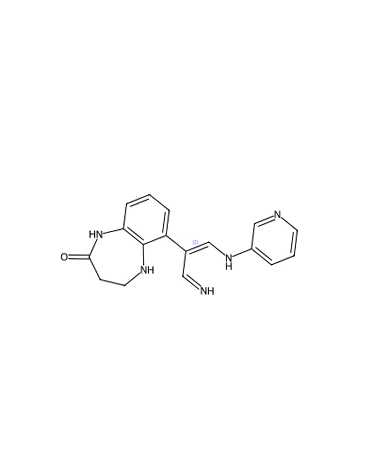 N=C/C(=C\Nc1cccnc1)c1cccc2c1NCCC(=O)N2